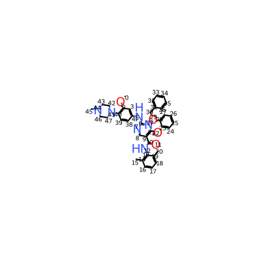 COc1cc(Nc2ncc(C(=O)Nc3c(C)cccc3C)c(Oc3ccccc3OCc3ccccc3)n2)ccc1N1CCN(C)CC1